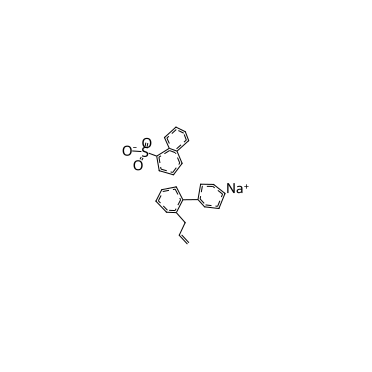 C=CCc1ccccc1-c1ccccc1.O=S(=O)([O-])c1cccc2ccccc12.[Na+]